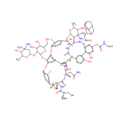 CCCCCCCCNC(=O)Oc1cc(O)c2c(c1)[C@@H](C(=O)CC1C3CC4CC(C3)CC1C4)NC(=O)[C@H]1NC(=O)[C@H](CC(=O)[C@@H]3NC(=O)[C@H](CC(N)=O)CC(=O)[C@H](NC(=O)[C@@H](CC(C)C)NC)[C@H](O)c4ccc(c(Cl)c4)Oc4cc3cc(c4OC3OC(CO)C(O)C(O)C3OC3CC(C)(N)C(O)C(C)O3)Oc3ccc(cc3Cl)[C@H]1OC1CC(C)(N)C(O)C(C)O1)c1ccc(O)c-2c1